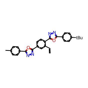 C=Cc1cc(-c2nnc(-c3ccc(C)cc3)o2)ccc1-c1nnc(-c2ccc(C(C)(C)C)cc2)o1